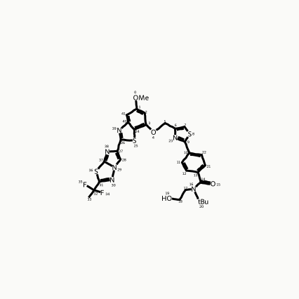 COc1cc(OCc2csc(-c3ccc(C(=O)N(CCO)C(C)(C)C)cc3)n2)c2sc(-c3cn4nc(C(C)(F)F)sc4n3)nc2c1